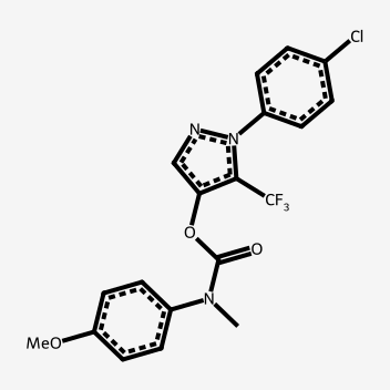 COc1ccc(N(C)C(=O)Oc2cnn(-c3ccc(Cl)cc3)c2C(F)(F)F)cc1